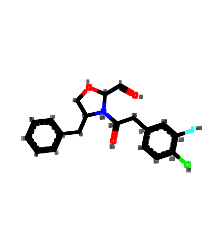 O=CC1OCC(Cc2ccccc2)N1C(=O)Cc1ccc(Cl)c(F)c1